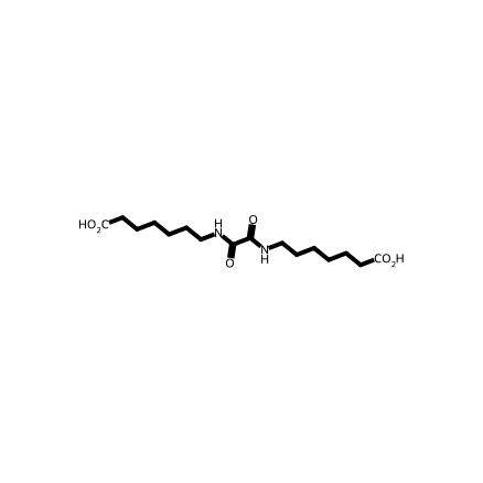 O=C(O)CCCCCCNC(=O)C(=O)NCCCCCCC(=O)O